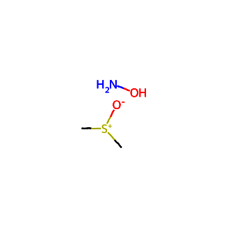 C[S+](C)[O-].NO